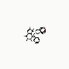 CC1=CC2=C(C(C)C(C)C(C)C2C)[C]1(C)[Ti]([CH2]c1ccccc1)([CH2]c1ccccc1)[CH2]c1ccccc1